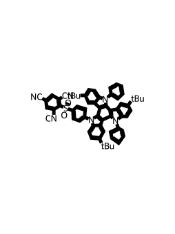 CC(C)(C)c1ccc2c(c1)c1c(c3c4cc(C(C)(C)C)ccc4n(-c4ccc(S(=O)(=O)c5c(C#N)cc(C#N)cc5C#N)cc4)c3c3c4cc(C(C)(C)C)ccc4n(-c4ccccc4)c13)n2-c1ccccc1